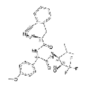 COc1ccc([C@H](NC(=O)[C@@H](N)Cc2ccccc2C#N)C(=O)N[C@@H](C(C)C)[C@H](O)C(F)(F)F)cc1